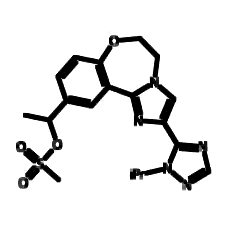 CC(OS(C)(=O)=O)c1ccc2c(c1)-c1nc(-c3ncnn3C(C)C)cn1CCO2